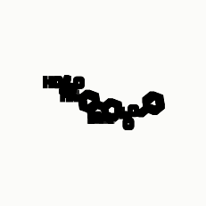 CSc1cc(NC(=O)C(C)(C)O)ccc1C1CCN(C(=O)OCc2ccccc2)CC1